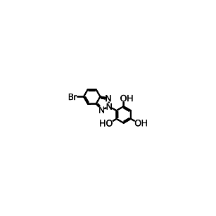 Oc1cc(O)c(-n2nc3ccc(Br)cc3n2)c(O)c1